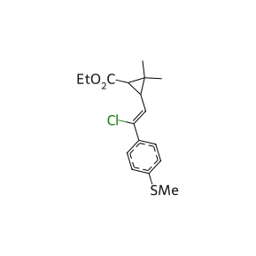 CCOC(=O)C1C(C=C(Cl)c2ccc(SC)cc2)C1(C)C